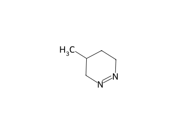 CC1CCN=NC1